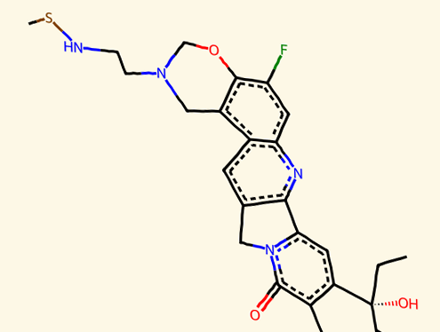 CC[C@@]1(O)C(=O)OCc2c1cc1n(c2=O)Cc2cc3c4c(c(F)cc3nc2-1)OCN(CCNSC)C4